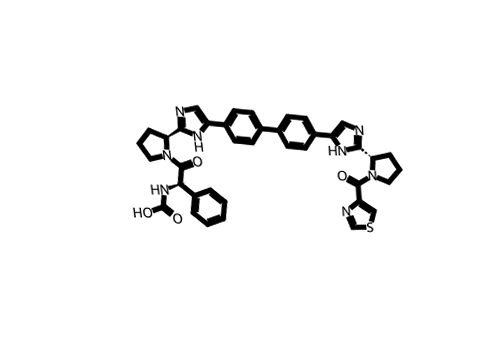 O=C(O)N[C@@H](C(=O)N1CCC[C@H]1c1ncc(-c2ccc(-c3ccc(-c4cnc([C@@H]5CCCN5C(=O)c5cscn5)[nH]4)cc3)cc2)[nH]1)c1ccccc1